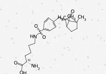 CC12CCC(C(=Cc3ccc(S(=O)(=O)NCCCC[C@H](N)C(=O)O)cc3)C1=O)C2(C)C